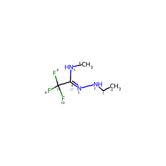 CCN/N=C(\NC)C(F)(F)F